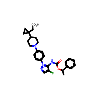 CC(OC(=O)Nc1c(F)cnn1-c1ccc(N2CCC(C3(CC(=O)O)CC3)CC2)cc1)c1ccccc1